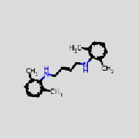 Cc1cccc(C)c1NCC=CCNc1c(C)cccc1C